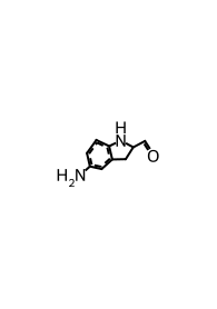 Nc1ccc2c(c1)CC(C=O)N2